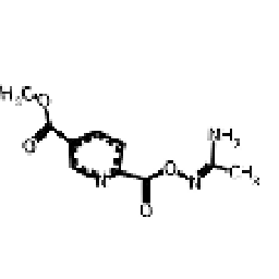 COC(=O)c1ccc(C(=O)ON=C(C)N)nc1